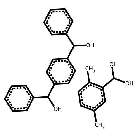 Cc1ccc(C)c(C(O)O)c1.OC(c1ccccc1)c1ccc(C(O)c2ccccc2)cc1